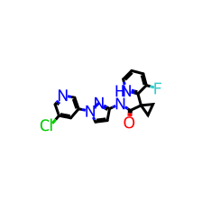 O=C(Nc1ccn(-c2cncc(Cl)c2)n1)C1(c2ncccc2F)CC1